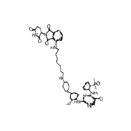 COc1cc(N2CCC(NCCCCCCCNc3cccc4c3C(=O)N(C3CCC(=O)NC3=O)C4=O)CC2)ccc1Nc1ncc(Cl)c(Nc2ccccc2P(C)(C)=O)n1